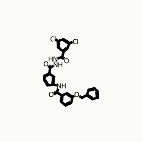 O=C(NNC(=O)c1cccc(NC(=O)c2cccc(OCc3ccccc3)c2)c1)c1cc(Cl)cc(Cl)c1